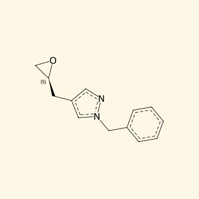 c1ccc(Cn2cc(C[C@H]3CO3)cn2)cc1